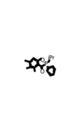 Cc1cc(C)c(C(=O)P(=O)(CC(C)C)c2ccccc2)c(C)c1C